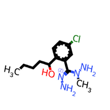 CCCCC(O)c1ccc(Cl)cc1/C(=N/N)N(C)N